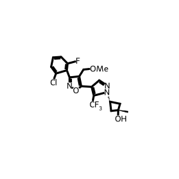 COCc1c(-c2c(F)cccc2Cl)noc1-c1cnn([C@H]2C[C@@](C)(O)C2)c1C(F)(F)F